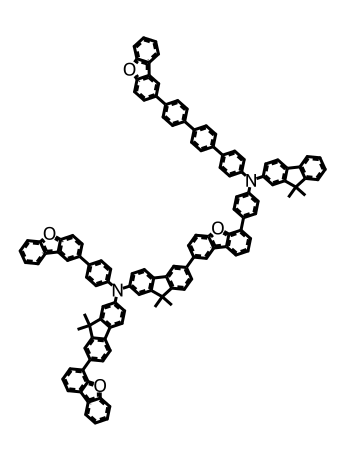 CC1(C)c2ccccc2-c2ccc(N(c3ccc(-c4ccc(-c5ccc(-c6ccc7oc8ccccc8c7c6)cc5)cc4)cc3)c3ccc(-c4cccc5c4oc4ccc(-c6ccc7c(c6)-c6ccc(N(c8ccc(-c9ccc%10oc%11ccccc%11c%10c9)cc8)c8ccc9c(c8)C(C)(C)c8cc(-c%10cccc%11c%10oc%10ccccc%10%11)ccc8-9)cc6C7(C)C)cc45)cc3)cc21